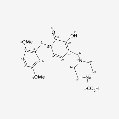 COc1ccc(OC)c(Cn2ccc(CN3CCN(C(=O)O)CC3)c(O)c2=O)c1